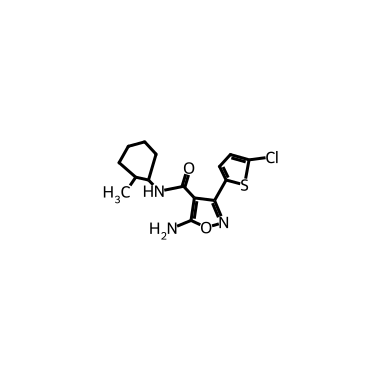 CC1CCCCC1NC(=O)c1c(-c2ccc(Cl)s2)noc1N